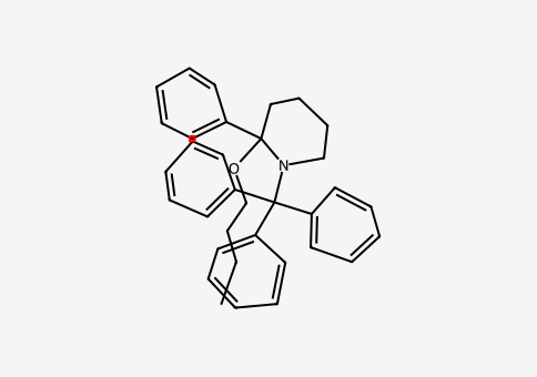 CCCCOC1(c2ccccc2)CCCCN1C(c1ccccc1)(c1ccccc1)c1ccccc1